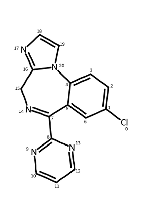 Clc1ccc2c(c1)C(c1ncccn1)=NCc1nccn1-2